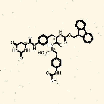 NC(=O)Nc1ccc(C[C@@H](NC(=O)[C@@H](Cc2ccc(NC(=O)[C@@H]3CC(=O)NC(=O)N3)cc2)NC(=O)OCC2c3ccccc3-c3ccccc32)C(=O)O)cc1